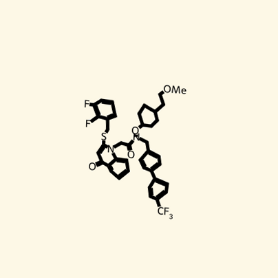 COCCC1CCC(ON(Cc2ccc(-c3ccc(C(F)(F)F)cc3)cc2)C(=O)Cn2c(SCc3cccc(F)c3F)cc(=O)c3ccccc32)CC1